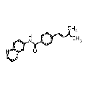 CC(C)C=Cc1ccc(C(=O)Nc2ccc3ncccc3c2)cc1